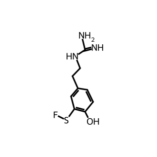 N=C(N)NCCc1ccc(O)c(SF)c1